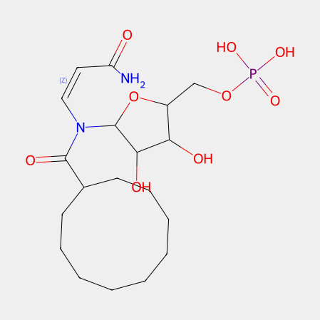 NC(=O)/C=C\N(C(=O)C1CCCCCCCCC1)C1OC(COP(=O)(O)O)C(O)C1O